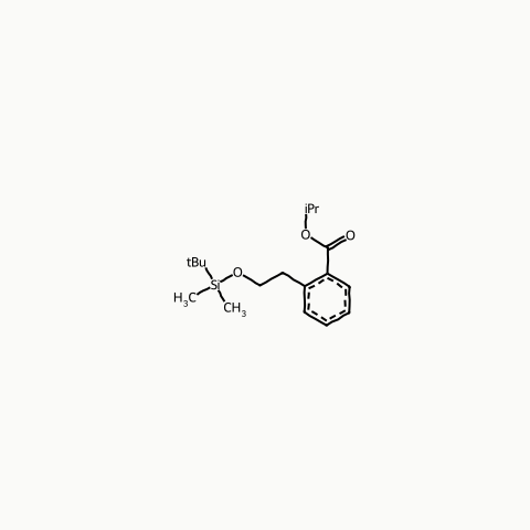 CC(C)OC(=O)c1ccccc1CCO[Si](C)(C)C(C)(C)C